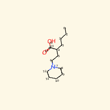 CCCCC(CCN1CCCCC1)C(=O)O